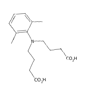 Cc1cccc(C)c1N(CCCC(=O)O)CCCC(=O)O